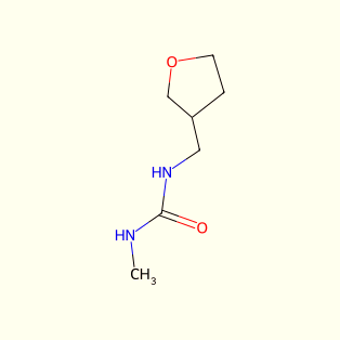 CNC(=O)NCC1CCOC1